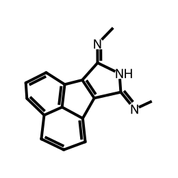 C/N=C1\N/C(=N\C)C2=C1c1cccc3cccc2c13